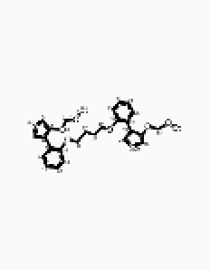 CCOCOc1cscc1-c1ccccc1OCCCCOc1ccccc1-c1cscc1OCOCC